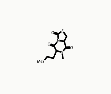 CSCCC1C(=O)N2C(=O)SCC2C(=O)N1C